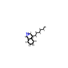 CCCCCCc1cncc2ccccc12